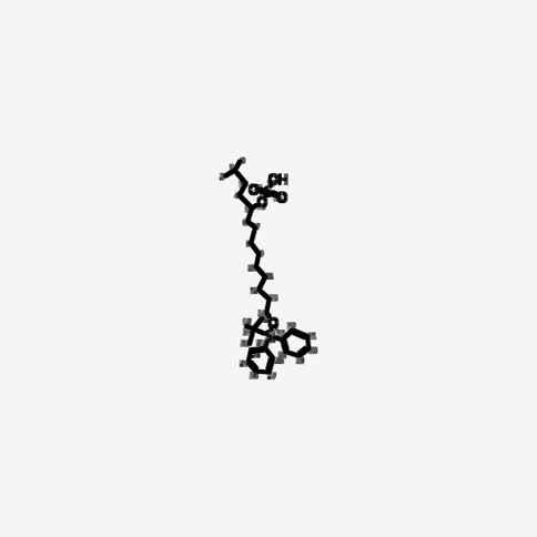 CC(C)CCC(CCCCCCCCCO[Si](c1ccccc1)(c1ccccc1)C(C)(C)C)OS(=O)(=O)O